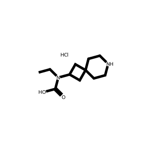 CCN(C(=O)O)C1CC2(CCNCC2)C1.Cl